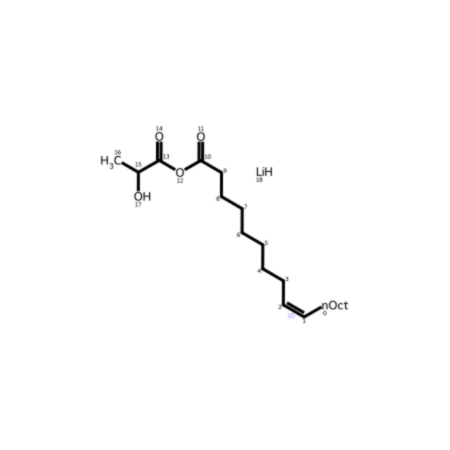 CCCCCCCC/C=C\CCCCCCCC(=O)OC(=O)C(C)O.[LiH]